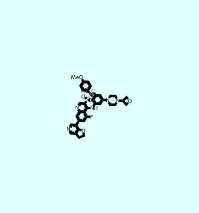 COc1ccc(NS(=O)(=O)c2cnc3cc(-c4cncc5c4OCC5)cc(F)c3c2Nc2cc(C(=O)O)cc(N3CCN(C4COC4)CC3)c2)cc1